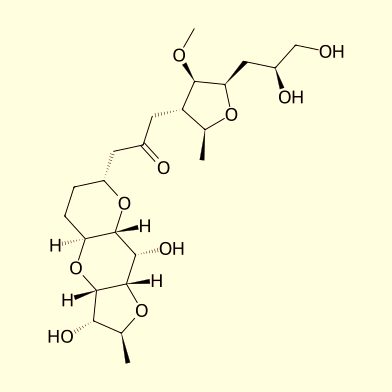 CO[C@@H]1[C@@H](CC(=O)C[C@H]2CC[C@@H]3O[C@H]4[C@@H](O)[C@H](C)O[C@H]4[C@@H](O)[C@H]3O2)[C@H](C)O[C@@H]1C[C@H](O)CO